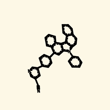 N#Cc1cncc(-c2ccc(-c3cc4c(c5ccccc35)c3c5ccccc5ccc3n4-c3ccccc3)cc2)c1